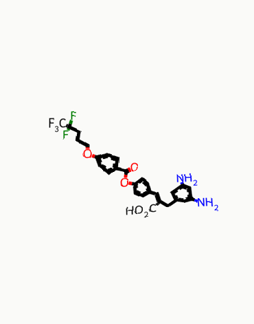 Nc1cc(N)cc(CC(=Cc2ccc(OC(=O)c3ccc(OCCCC(F)(F)C(F)(F)F)cc3)cc2)C(=O)O)c1